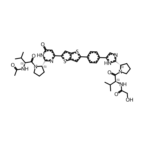 CC(=O)N[C@H](C(=O)N1CCC[C@H]1c1nc(-c2cc3sc(-c4ccc(-c5cnc([C@@H]6CCCN6C(=O)[C@@H](NC(=O)CO)C(C)C)[nH]5)cc4)cc3s2)cc(=O)[nH]1)C(C)C